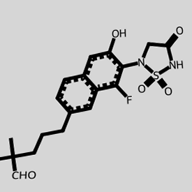 CC(C)(C=O)CCCc1ccc2cc(O)c(N3CC(=O)NS3(=O)=O)c(F)c2c1